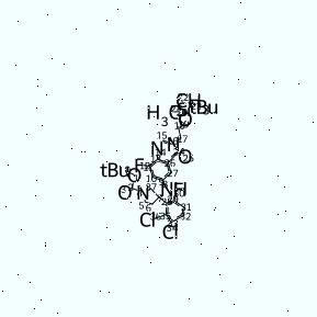 CC(C)(C)OC(=O)N1CCC(Nc2cc(F)c3ncn(CCO[Si](C)(C)C(C)(C)C)c(=O)c3c2)(c2c(F)ccc(Cl)c2Cl)C1